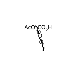 C=CCCOCCOCOCC(COC(C)=O)C(=O)O